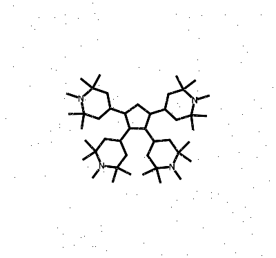 CN1C(C)(C)CC(C2CC(C3CC(C)(C)N(C)C(C)(C)C3)C(C3CC(C)(C)N(C)C(C)(C)C3)C2C2CC(C)(C)N(C)C(C)(C)C2)CC1(C)C